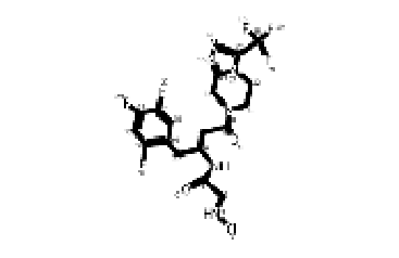 O=C(CNCl)NC(CC(=O)N1CCn2c(nnc2C(F)(F)F)C1)Cc1cc(F)c(F)cc1F